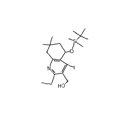 CCc1nc2c(c(I)c1CO)C(O[Si](C)(C)C(C)(C)C)CC(C)(C)C2